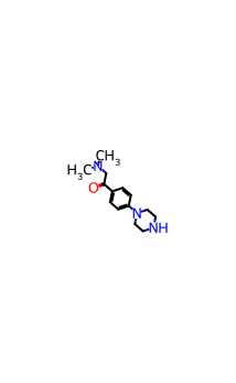 CN(C)CC(=O)c1ccc(N2CCNCC2)cc1